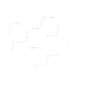 Cc1cccc(C)c1-c1c(C)ccc(OP(=O)(O)O)c1-c1c(C)cccc1C